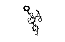 CCOC=O.CN(CC(=O)N1CCNCC1)C(=O)OCc1ccccc1